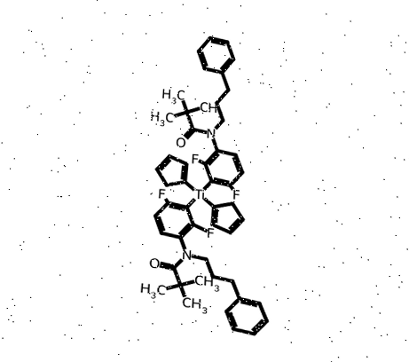 CC(C)(C)C(=O)N(CCCc1ccccc1)c1ccc(F)[c]([Ti]([C]2=CC=CC2)([C]2=CC=CC2)[c]2c(F)ccc(N(CCCc3ccccc3)C(=O)C(C)(C)C)c2F)c1F